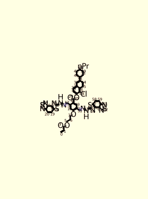 C=CC(=O)OCCCOc1cc(/C=N/Nc2nc3c(ccc4nsnc43)s2)c(C(=O)Oc2ccc3cc(C4CCC(CCC)CC4)ccc3c2Cl)cc1/C=N/Nc1nc2c(ccc3nsnc32)s1